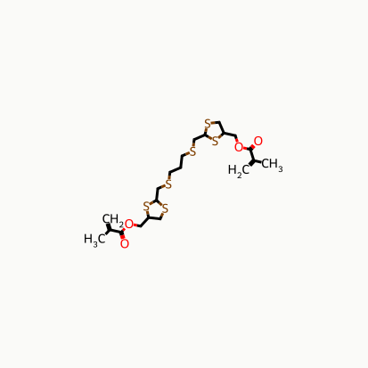 C=C(C)C(=O)OCC1CSC(CSCCCSCC2SCC(COC(=O)C(=C)C)S2)S1